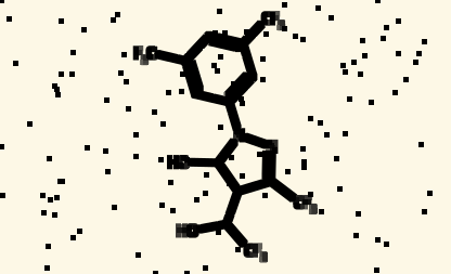 OC1C(C(O)C(F)(F)F)C(C(F)(F)F)=NN1c1cc(C(F)(F)F)cc(C(F)(F)F)c1